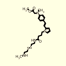 CNCCSSCCNC(=O)CCCn1cccc1/C=C/c1ccc(N(C)CC(=O)OC)cc1